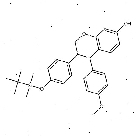 COc1ccc(C2c3ccc(O)cc3OCC2c2ccc(O[Si](C)(C)C(C)(C)C)cc2)cc1